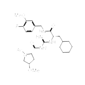 COc1cc(CNC(=O)[C@@H](CC2CCCCC2)NC(=N)NC(=O)[C@@H]2C[C@@H](OC)CN2C(C)=O)ccc1F